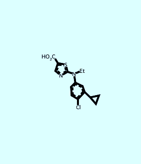 CCN(c1ccc(Cl)c(C2CC2)c1)c1ncc(C(=O)O)s1